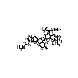 CCC/C=C(C(=O)N(C)C)/C(CCOc1cc(F)ccc1-c1ccc2ncc(CCN)n2c1)=C(/C)NC